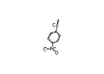 [CH2]=[Co][c]1ccc([N+](=O)[O-])cc1